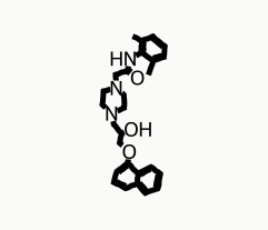 Cc1cccc(C)c1NC(=O)CN1CCN(CC(O)COc2cccc3ccccc23)CC1